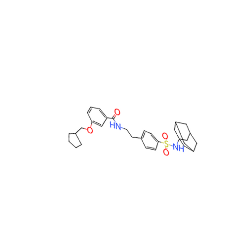 O=C(NCCc1ccc(S(=O)(=O)NC23CC4CC(CC(C4)C2)C3)cc1)c1cccc(OCC2CCCC2)c1